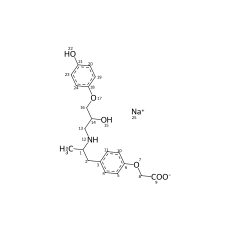 CC(Cc1ccc(OCC(=O)[O-])cc1)NCC(O)COc1ccc(O)cc1.[Na+]